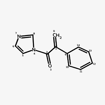 C=C(C(=O)n1ccnc1)c1ccccc1